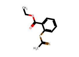 CCOC(=O)c1ccccc1SC(C)=S